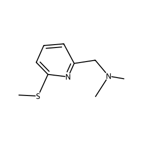 CSc1cccc(CN(C)C)n1